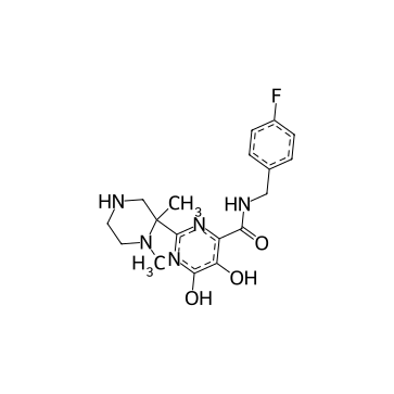 CN1CCNCC1(C)c1nc(O)c(O)c(C(=O)NCc2ccc(F)cc2)n1